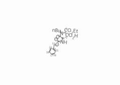 CCCCN(CC(=O)OCC)C(=O)[C@H](CC(=O)O)NC(=O)OCc1ccccc1